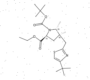 CCOC(=O)[C@@H]1C[C@](C)(Cc2nc(C(C)(C)C)cs2)[C@@H](C)N1C(=O)OC(C)(C)C